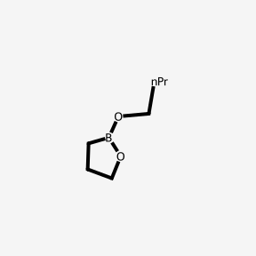 CCCCOB1CCCO1